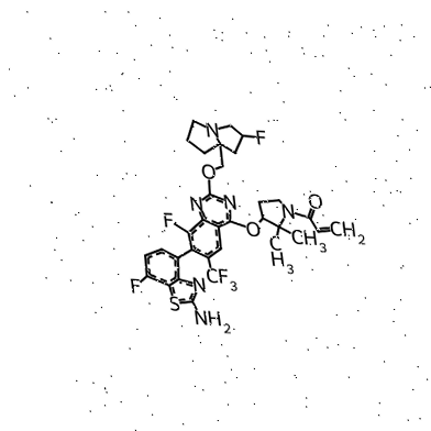 C=CC(=O)N1CCC(Oc2nc(OCC34CCCN3CC(F)C4)nc3c(F)c(-c4ccc(F)c5sc(N)nc45)c(C(F)(F)F)cc23)C1(C)C